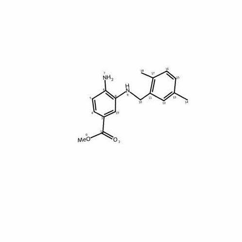 COC(=O)c1ccc(N)c(NCc2cc(C)ccc2C)c1